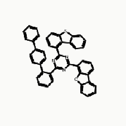 c1ccc(-c2ccc(-c3ccccc3-c3nc(-c4cccc5c4oc4ccccc45)nc(-c4cccc5sc6ccccc6c45)n3)cc2)cc1